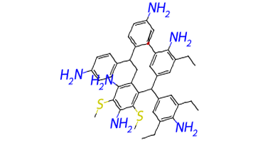 CCc1cc(C(c2cc(CC)c(N)c(CC)c2)c2c(CC(c3ccc(N)cc3)c3ccc(N)cc3)c(N)c(SC)c(N)c2SC)cc(CC)c1N